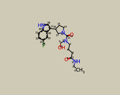 CCNC(=O)CCCN(CO)C(=O)N1CCC(c2c[nH]c3ccc(F)cc23)C1